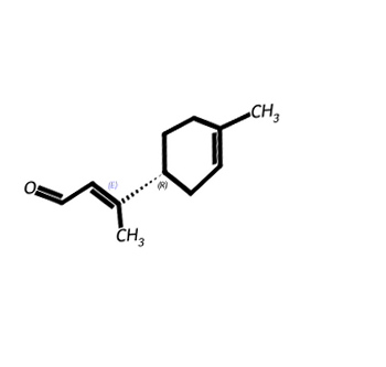 CC1=CC[C@H](/C(C)=C/C=O)CC1